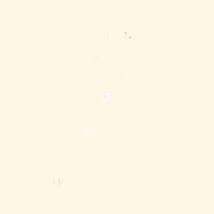 CC(/C=C/c1c(C)noc1C)=C\CO